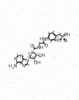 Nc1ncnc2c1ncn2[C@@H]1O[C@H](C(=O)NCC(=O)Nc2ccc(CP(=O)(O)O)cc2)[C@@H](O)[C@@H]1O